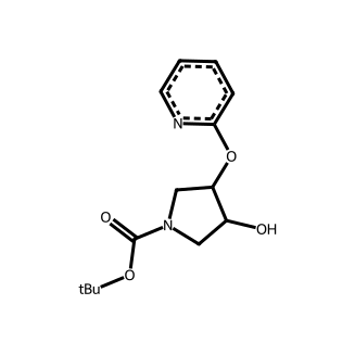 CC(C)(C)OC(=O)N1CC(O)C(Oc2ccccn2)C1